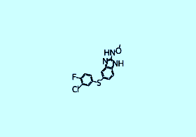 CONc1nc2cc(Sc3ccc(F)c(Cl)c3)ccc2[nH]1